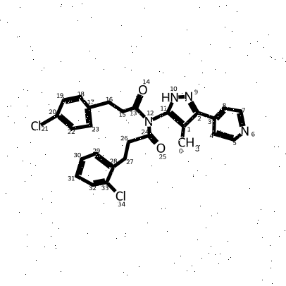 Cc1c(-c2ccncc2)n[nH]c1N(C(=O)CCc1ccc(Cl)cc1)C(=O)CCc1ccccc1Cl